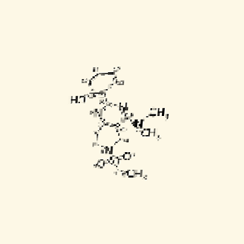 CCS(=O)(=O)N1CCc2nc(-c3ccccc3O)nc(N(C)C)c2C1